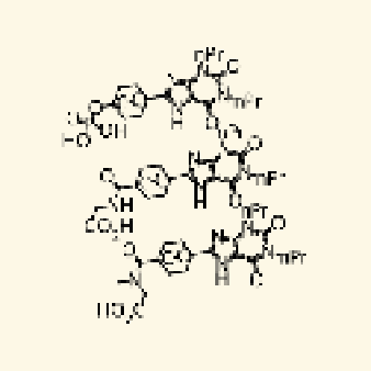 CCCn1c(=O)c2[nH]c(C34CCC(C(=O)N(C)CC(=O)O)(CC3)CC4)nc2n(CCC)c1=O.CCCn1c(=O)c2[nH]c(C34CCC(C(=O)NCC(=O)O)(CC3)CC4)nc2n(CCC)c1=O.CCCn1c(=O)c2[nH]c(C34CCC(OP(=O)(O)O)(CC3)CC4)nc2n(CCC)c1=O